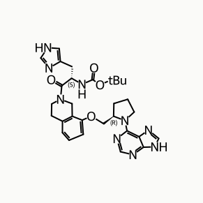 CC(C)(C)OC(=O)N[C@@H](Cc1c[nH]cn1)C(=O)N1CCc2cccc(OC[C@H]3CCCN3c3ncnc4[nH]cnc34)c2C1